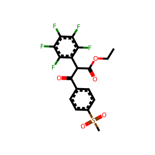 CCOC(=O)C(C(=O)c1ccc(S(C)(=O)=O)cc1)c1c(F)c(F)c(F)c(F)c1F